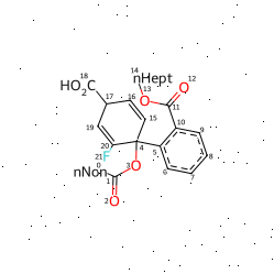 CCCCCCCCCC(=O)OC1(c2ccccc2C(=O)OCCCCCCC)C=CC(C(=O)O)C=C1F